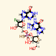 Nc1nc2c(ncn2[C@@H]2S[C@H](CO)[C@@H](O)[C@H]2OP(=O)(S)OC[C@H]2OC(n3cnc4c(=O)[nH]cnc43)=C(F)[C@@H]2O)c(=O)[nH]1